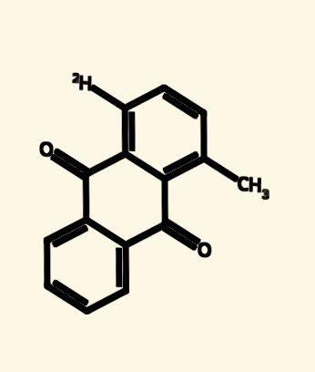 [2H]c1ccc(C)c2c1C(=O)c1ccccc1C2=O